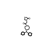 O=C(CN1CSCC1=O)N1CCCN(C(c2ccccc2)c2ccccc2)CC1